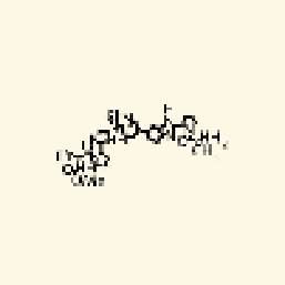 COC(=O)NC(C(=O)N1CCCC1c1ncc(N(C)c2ccc(-c3ccc4nc(C5CCCN5C(=O)C(C)N)[nH]c4c3)cn2)[nH]1)C(C)C